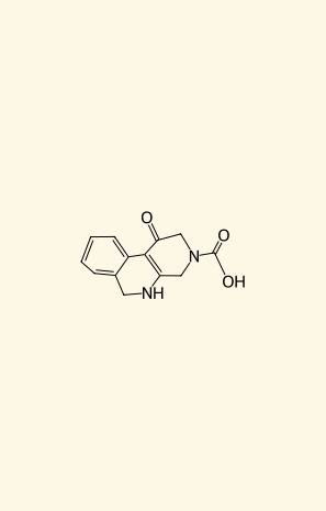 O=C1CN(C(=O)O)CC2=C1c1ccccc1CN2